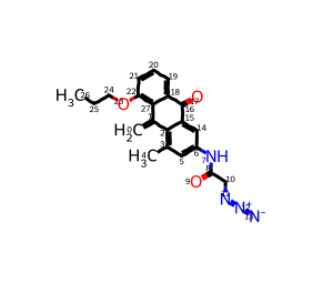 C=C1c2c(C)cc(NC(=O)CN=[N+]=[N-])cc2C(=O)c2cccc(OCCC)c21